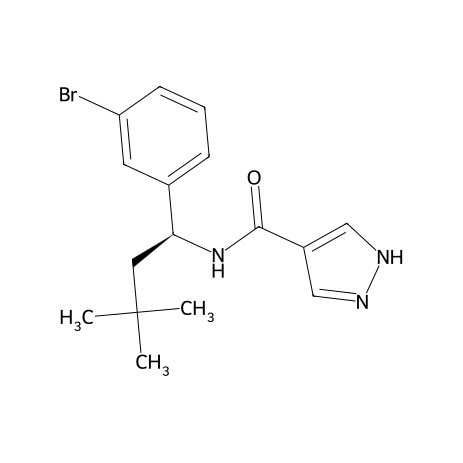 CC(C)(C)C[C@H](NC(=O)c1cn[nH]c1)c1cccc(Br)c1